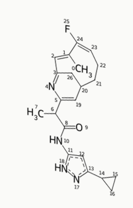 CC1=C\C2=NC(C(C)C(=O)Nc3cc(C4CC4)n[nH]3)=CC(CC/C=C\1F)C2